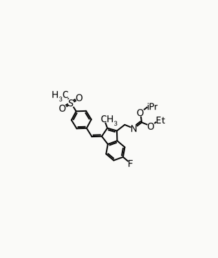 CCO/C(=N/CC1=C(C)C(=Cc2ccc(S(C)(=O)=O)cc2)c2ccc(F)cc21)OC(C)C